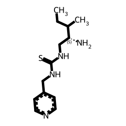 CCC(C)[C@H](N)CNC(=S)NCc1ccncc1